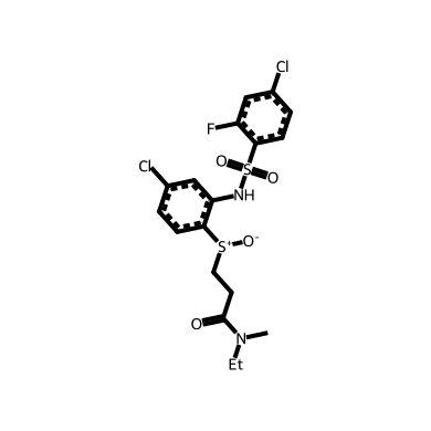 CCN(C)C(=O)CC[S+]([O-])c1ccc(Cl)cc1NS(=O)(=O)c1ccc(Cl)cc1F